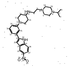 CC(C)N1CCN(CCNC2CCN(c3cccc(-c4cc5cc([N+](=O)[O-])ccc5[nH]4)c3)CC2)CC1